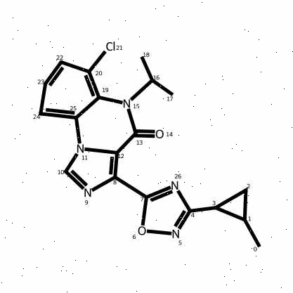 CC1CC1c1noc(-c2ncn3c2c(=O)n(C(C)C)c2c(Cl)cccc23)n1